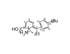 CCC(=C1C=CC=C(C(=O)O)C1(C)N)c1ccc(C(C)(C)C)cc1